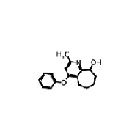 Cc1cc(Oc2ccccc2)c2c(n1)C(O)CCCC2